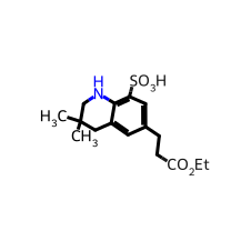 CCOC(=O)CCc1cc2c(c(S(=O)(=O)O)c1)NCC(C)(C)C2